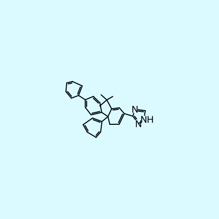 CC(C)(C)C1=CC(c2nc[nH]n2)=CCC1(c1ccccc1)c1ccc(-c2ccccc2)cc1